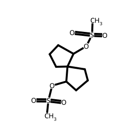 CS(=O)(=O)OC1CCCC12CCCC2OS(C)(=O)=O